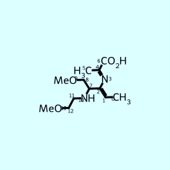 C/C=C(\N=C(/C)C(=O)O)C(COC)NCCOC